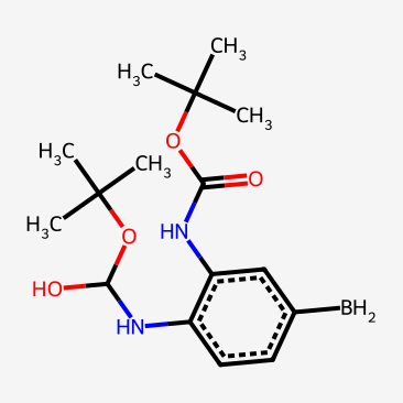 Bc1ccc(NC(O)OC(C)(C)C)c(NC(=O)OC(C)(C)C)c1